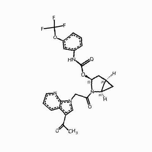 CC(=O)c1cn(CC(=O)N2[C@@H](OC(=O)Nc3cccc(OC(F)(F)F)c3)C[C@H]3C[C@H]32)c2ncccc12